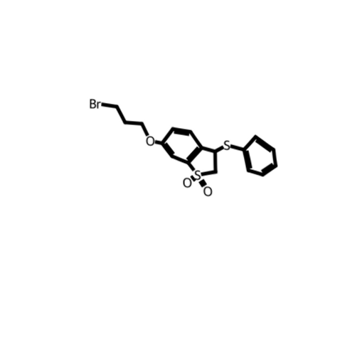 O=S1(=O)CC(Sc2ccccc2)c2ccc(OCCCBr)cc21